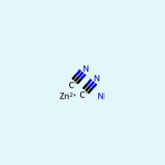 [C-]#N.[C-]#N.[N].[Zn+2]